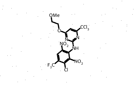 COCCOc1cc(C(Cl)(Cl)Cl)nc(Nc2c([N+](=O)[O-])cc(C(F)(F)F)c(Cl)c2[N+](=O)[O-])n1